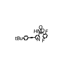 CC(C)(C)c1ccc(C#Cc2cncc([C@H]3NC(=O)O[C@@H]3c3cc(F)ccc3F)c2)cc1